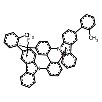 Cc1ccccc1-c1ccc2c(c1)c1ccccc1n2-c1ccc(C(F)(F)F)cc1-c1c(C#N)cccc1-n1c2ccccc2c2cc(-c3ccccc3C)ccc21